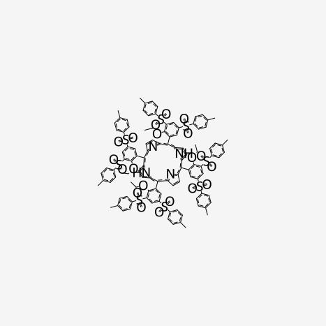 CCOc1c(-c2c3nc(c(-c4cc(S(=O)(=O)c5ccc(C)cc5)cc(S(=O)(=O)c5ccc(C)cc5)c4OCC)c4ccc([nH]4)c(-c4cc(S(=O)(=O)c5ccc(C)cc5)cc(S(=O)(=O)c5ccc(C)cc5)c4OCC)c4nc(c(-c5cc(S(=O)(=O)c6ccc(C)cc6)cc(S(=O)(=O)c6ccc(C)cc6)c5OCC)c5ccc2[nH]5)C=C4)C=C3)cc(S(=O)(=O)c2ccc(C)cc2)cc1S(=O)(=O)c1ccc(C)cc1